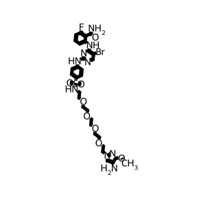 COc1nn(CCOCCOCCOCCOCCNS(=O)(=O)c2ccc(Nc3ncc(Br)c(Nc4cccc(F)c4C(N)=O)n3)cc2)cc1N